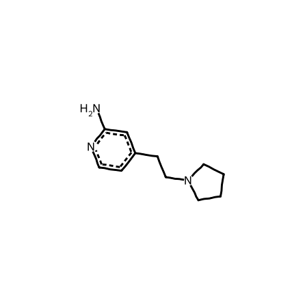 Nc1cc(CCN2CCCC2)ccn1